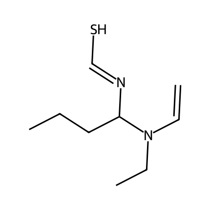 C=CN(CC)C(CCC)N=CS